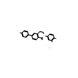 CCCS(=O)(=O)Nc1cc(N2CCc3cc(-c4ccc(OC(F)(F)F)cc4)ccc3C2=O)ccc1O